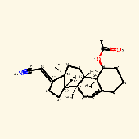 CC(=O)OC1CCCC2=CC[C@@H]3[C@H](CC[C@]4(C)/C(=C/C#N)CC[C@@H]34)[C@H]21